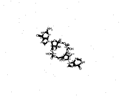 Nc1nc2c(ncn2[C@@H]2O[C@@H]3COP(=O)(O)O[C@H]4[C@@H](F)[C@H](n5cnc6c(=O)[nH]cnc65)O[C@@H]4COP(=O)(O)O[C@@H]2[C@@H]3F)c(=O)[nH]1